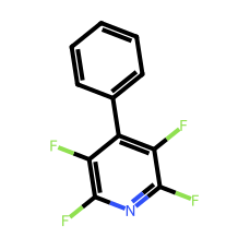 Fc1nc(F)c(F)c(-c2ccccc2)c1F